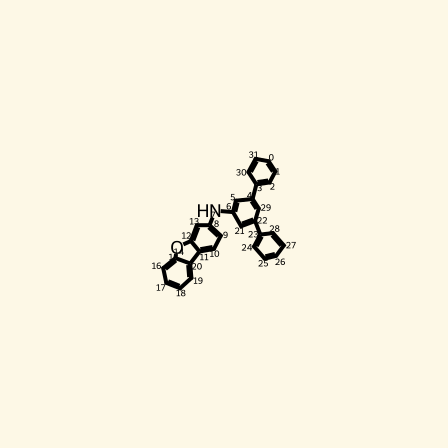 c1ccc(-c2cc(Nc3ccc4c(c3)oc3ccccc34)cc(-c3ccccc3)c2)cc1